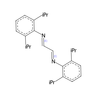 CC(C)c1cccc(C(C)C)c1/N=C/C=N/c1c(C(C)C)cccc1C(C)C